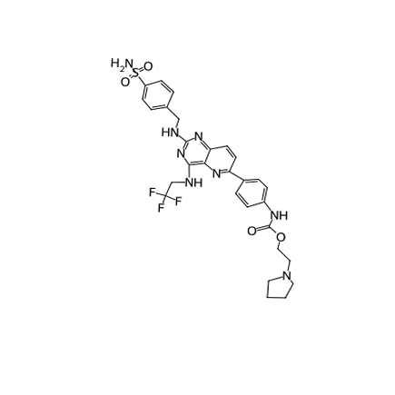 NS(=O)(=O)c1ccc(CNc2nc(NCC(F)(F)F)c3nc(-c4ccc(NC(=O)OCCN5CCCC5)cc4)ccc3n2)cc1